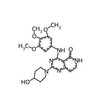 COc1cc(Nc2nc(N3CCC(O)CC3)nc3cc[nH]c(=O)c23)cc(OC)c1OC